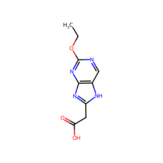 CCOc1ncc2[nH]c(CC(=O)O)nc2n1